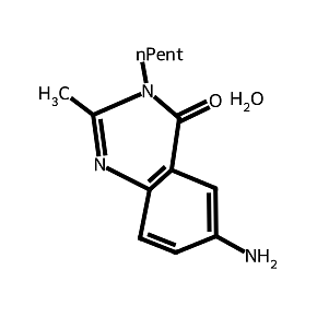 CCCCCn1c(C)nc2ccc(N)cc2c1=O.O